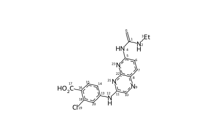 C=C(NCC)Nc1ccc2ncc(Nc3ccc(C(=O)O)c(Cl)c3)nc2n1